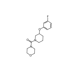 O=C(N1CCOCC1)N1CCCC(Oc2c[c]cc(F)c2)C1